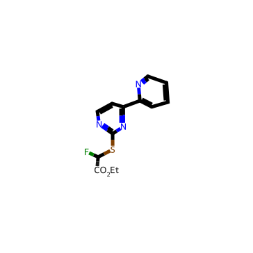 CCOC(=O)C(F)Sc1nccc(-c2ccccn2)n1